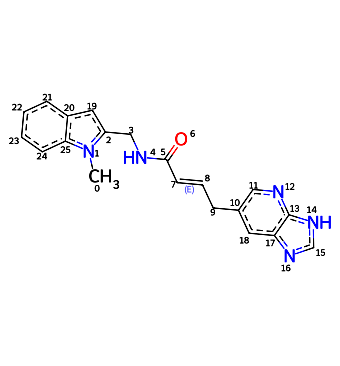 Cn1c(CNC(=O)/C=C/Cc2cnc3[nH]cnc3c2)cc2ccccc21